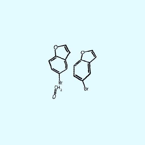 Brc1ccc2occc2c1.Brc1ccc2occc2c1.C=O